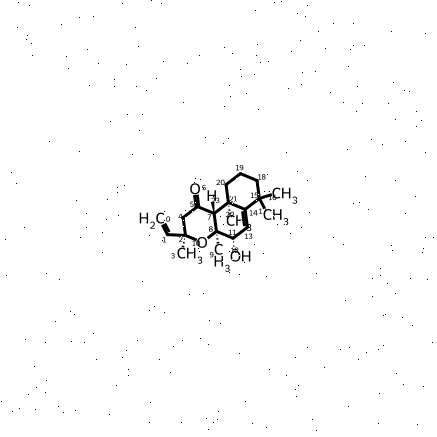 C=C[C@@]1(C)CC(=O)[C@H]2[C@](C)(O1)[C@@H](O)C=C1C(C)(C)CCC[C@@]12C